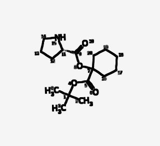 CC(C)(C)OC(=O)C1(OC(=O)[C@@H]2CCCN2)CCCCC1